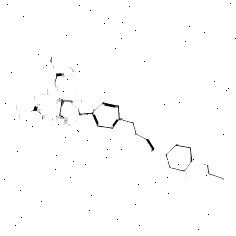 CCC[C@H]1CC[C@H](/C=C/CCc2ccc(C3O[C@H](OC(=O)OC)[C@@H](OC(=O)OC)O3)cc2)CC1